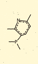 Cc1ccc(P(C)C)c(C)n1